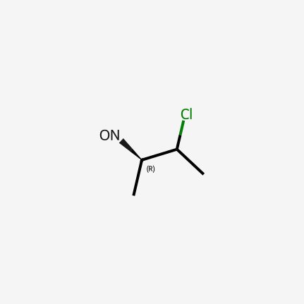 CC(Cl)[C@@H](C)N=O